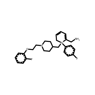 NCC1=CC=CC[N+]1(CC1CCN(CCOc2ccccc2F)CC1)c1ccc(F)cc1